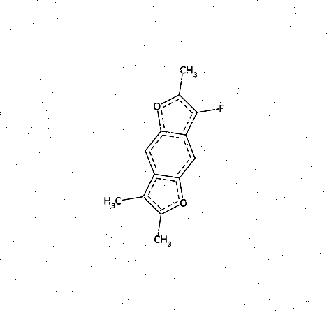 Cc1oc2cc3c(F)c(C)oc3cc2c1C